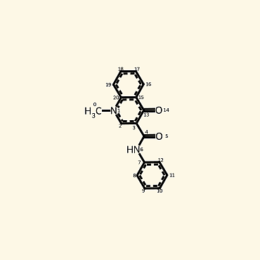 Cn1cc(C(=O)Nc2ccccc2)c(=O)c2ccccc21